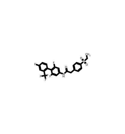 CCS(=O)(=O)c1ccc(CC(=O)Nc2cc(F)c(-c3ccc(F)cc3C(F)(F)F)c(F)c2)cc1